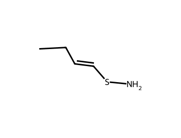 CCC=CSN